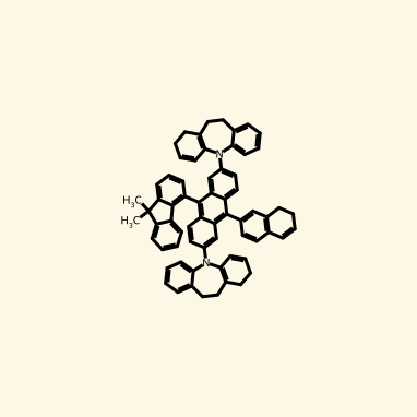 CC1(C)c2ccccc2-c2c(-c3c4ccc(N5C6=C(CCC=C6)CCc6ccccc65)cc4c(-c4ccc5c(c4)CCC=C5)c4ccc(N5C6=C(CCC=C6)CCc6ccccc65)cc34)cccc21